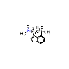 CN(C)CC1=CCc2cccc(C(C)(C)C)c21